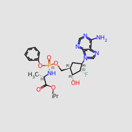 CC(C)OC(=O)[C@H](C)N[P@](=O)(OC[C@H]1C[C@@H](n2cnc3c(N)ncnc32)[C@H](F)[C@@H]1O)Oc1ccccc1